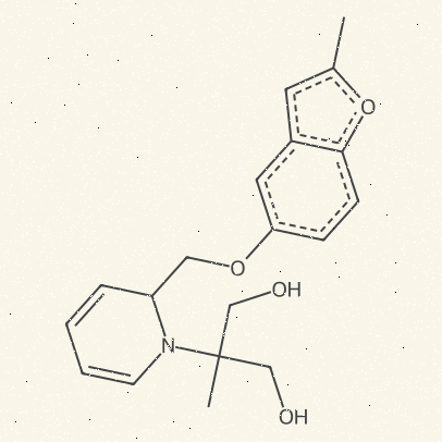 Cc1cc2cc(OCC3C=CC=CN3C(C)(CO)CO)ccc2o1